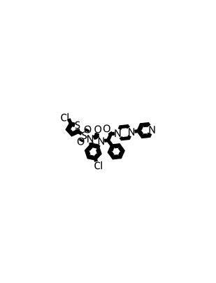 O=C(C(c1ccccc1)n1c(=O)n(S(=O)(=O)c2ccc(Cl)s2)c2ccc(Cl)cc21)N1CCN(c2ccncc2)CC1